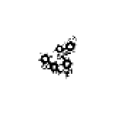 Cc1nc2ccc(C(=O)NC3(c4cccc(C(C)C)c4)CCCC3)cc2n1Cc1ccc(-c2ccccc2C(=O)O)cc1